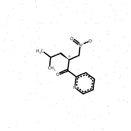 CC(C)C[C@@H](C[N+](=O)[O-])C(=O)c1ccccn1